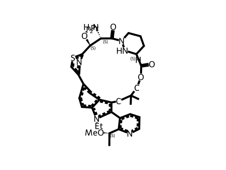 CCCO[C@@H]1c2nc(cs2)-c2ccc3c(c2)c(c(-c2cccnc2[C@H](C)OC)n3CC)CC(C)(C)COC(=O)[C@@H]2CCCN(N2)C(=O)[C@H]1N